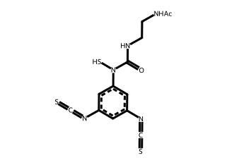 CC(=O)NCCNC(=O)N(S)c1cc(N=C=S)cc(N=C=S)c1